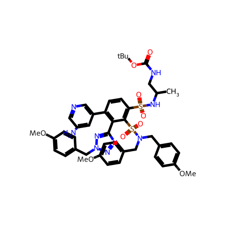 COc1ccc(CN(Cc2ccc(OC)cc2)S(=O)(=O)c2c(S(=O)(=O)NC(C)CNC(=O)OC(C)(C)C)ccc(-c3cncc(N)c3)c2-c2nnn(Cc3ccc(OC)cc3)n2)cc1